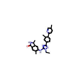 CCn1nc(-c2ccc(-c3ccc(C)cn3)c(C)c2)nc1Nc1cc2c(cc1C)C(=O)NC2C